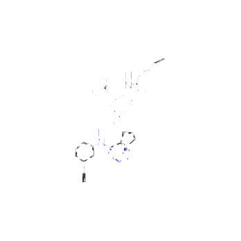 C#Cc1cccc(Nc2ncnn3ccc(CN4CC[C@@H](NC(=O)OCC=C)[C@H](C(=O)OC)C4)c23)c1